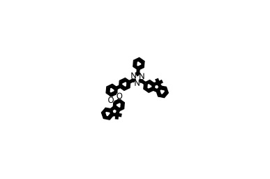 CC1(C)c2ccccc2-c2ccc(-c3nc(-c4ccccc4)nc(-c4ccc(-c5cccc6c5Oc5ccc7c(c5O6)-c5ccccc5C7(C)C)cc4)n3)cc21